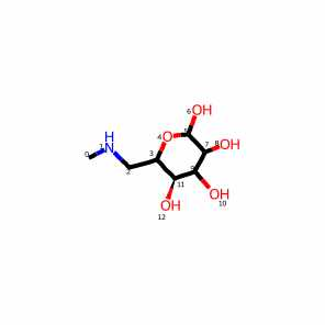 CNCC1OC(O)C(O)C(O)[C@H]1O